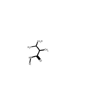 CCNC(=O)C(C)C(C)C(=O)O